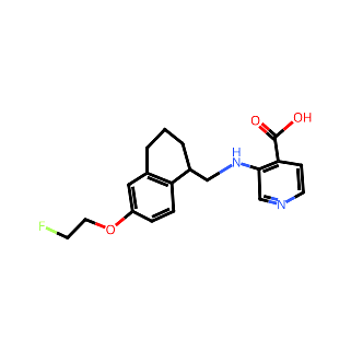 O=C(O)c1ccncc1NCC1CCCc2cc(OCCF)ccc21